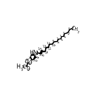 CCCCCCCCCCCCCCCCCNc1ccc(OC(=O)C(C)=O)cc1